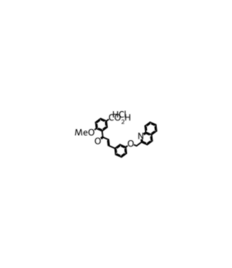 COc1ccc(C(=O)O)cc1C(=O)C=Cc1cccc(OCc2ccc3ccccc3n2)c1.Cl